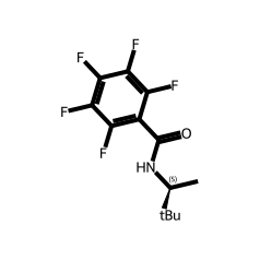 C[C@H](NC(=O)c1c(F)c(F)c(F)c(F)c1F)C(C)(C)C